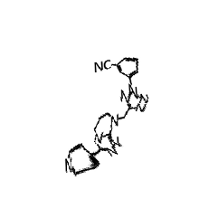 N#Cc1cccc(-n2nnc(CN3CCCn4c(-c5ccncc5)nnc43)n2)c1